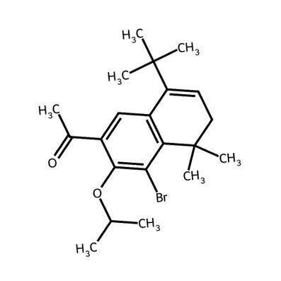 CC(=O)c1cc2c(c(Br)c1OC(C)C)C(C)(C)CC=C2C(C)(C)C